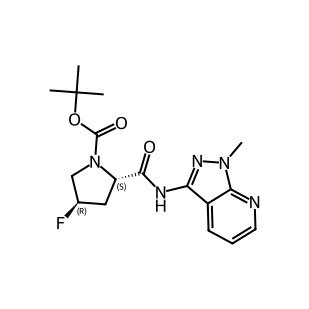 Cn1nc(NC(=O)[C@@H]2C[C@@H](F)CN2C(=O)OC(C)(C)C)c2cccnc21